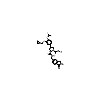 CN1Cc2cc(CNC(=O)[C@H]3CC(c4ccc(OC(F)F)c(OCC5CC5)c4)CN3C(=O)OC(C)(C)C)ccc2C1=O